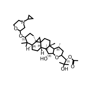 CC(=O)O[C@@H](C1C[C@@H](C)C2C(O1)[C@H](O)[C@@]1(C)[C@@H]3CC[C@H]4C(C)(C)[C@@H](OC5CN(C6CC6)CCO5)CC[C@@]45CC35CC[C@]21C)C(C)(C)O